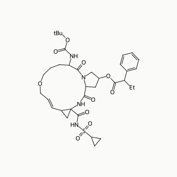 CCC(C(=O)OC1CC2C(=O)NC3(C(=O)NS(=O)(=O)C4CC4)CC3/C=C/COCCCC(NC(=O)OC(C)(C)C)C(=O)N2C1)c1ccccc1